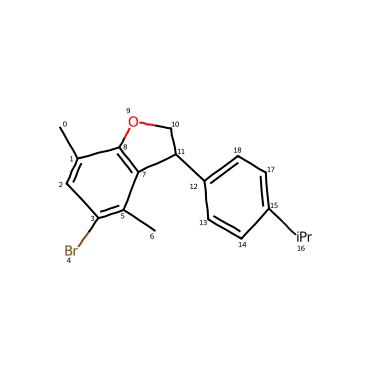 Cc1cc(Br)c(C)c2c1OCC2c1ccc(C(C)C)cc1